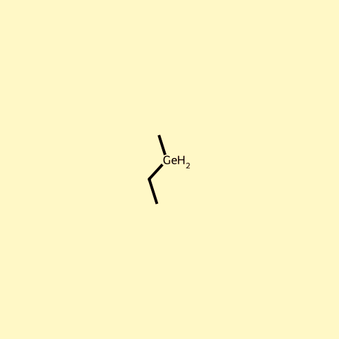 C[CH2][GeH2][CH3]